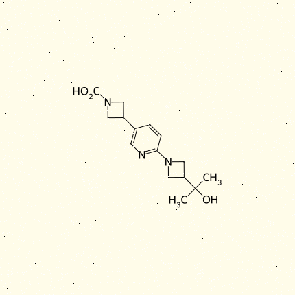 CC(C)(O)C1CN(c2ccc(C3CN(C(=O)O)C3)cn2)C1